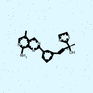 Cc1cnc(N)c2nc(-c3cccc(C#C[C@@](C)(O)c4nccs4)c3)ncc12